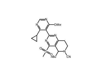 CCCCC1c2c(nc(-c3c(OC)ncnc3C3CC3)nc2S(C)(=O)=O)CCN1C#N